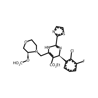 CCOC(=O)C1=C(CN2CCOC[C@@H]2OC(=O)O)NC(c2nccs2)=N[C@H]1c1cccc(F)c1Cl